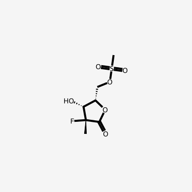 C[C@]1(F)C(=O)O[C@@H](COS(C)(=O)=O)[C@H]1O